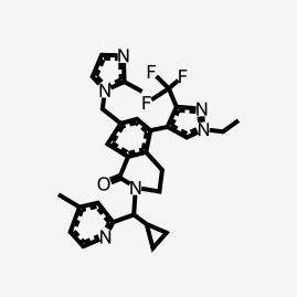 CCn1cc(-c2cc(Cn3ccnc3C)cc3c2CCN(C(c2cc(C)ccn2)C2CC2)C3=O)c(C(F)(F)F)n1